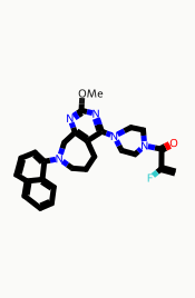 C=C(F)C(=O)N1CCN(c2nc(OC)nc3c2CCCN(c2cccc4ccccc24)C3)CC1